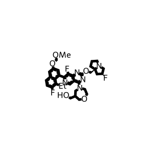 CCc1c(F)ccc2cc(OCOC)cc(-c3ncc4c(N5CCOCC(CO)C5)nc(OC[C@@]56CCCN5C[C@H](F)C6)nc4c3F)c12